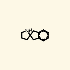 [CH]1c2ccccc2CC12CCCN2